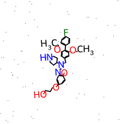 CCOc1cc(CN(c2nc3cc(OCCCO)ccc3o2)C2CCNCC2)cc(OCC)c1-c1ccc(F)cc1